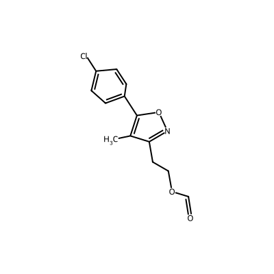 Cc1c(CCOC=O)noc1-c1ccc(Cl)cc1